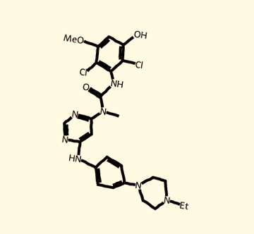 CCN1CCN(c2ccc(Nc3cc(N(C)C(=O)Nc4c(Cl)c(O)cc(OC)c4Cl)ncn3)cc2)CC1